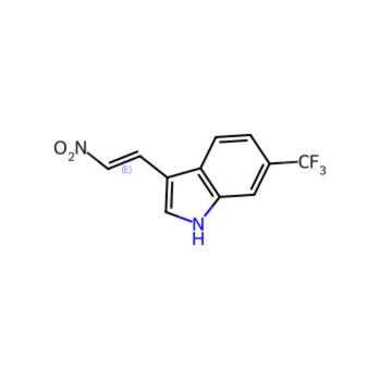 O=[N+]([O-])/C=C/c1c[nH]c2cc(C(F)(F)F)ccc12